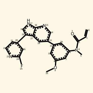 C=CC(=O)N(C)c1cc(OC)cc(-c2cnc3[nH]cc(-c4ccnc(F)c4)c3c2)c1